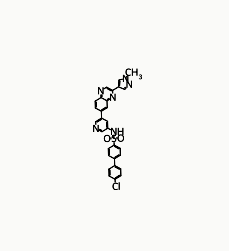 Cn1cc(-c2cnc3ccc(-c4cncc(NS(=O)(=O)c5ccc(-c6ccc(Cl)cc6)cc5)c4)cc3n2)cn1